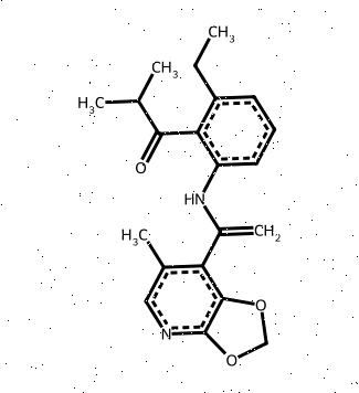 C=C(Nc1cccc(CC)c1C(=O)C(C)C)c1c(C)cnc2c1OCO2